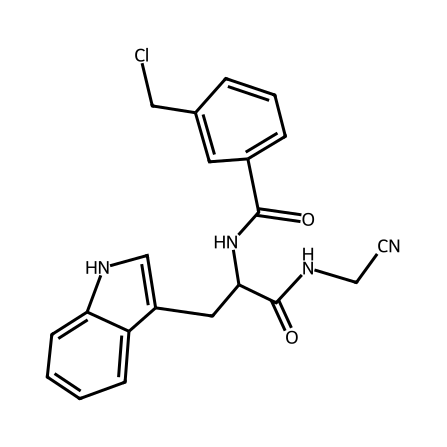 N#CCNC(=O)C(Cc1c[nH]c2ccccc12)NC(=O)c1cccc(CCl)c1